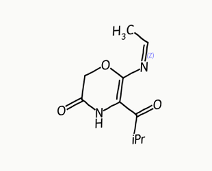 C/C=N\C1=C(C(=O)C(C)C)NC(=O)CO1